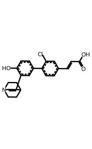 O=C(O)/C=C/c1ccc(-c2ccc(O)c(C3=CN4CCC3CC4)c2)c(Cl)c1